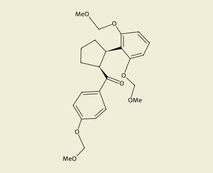 COCOc1ccc(C(=O)[C@H]2CCC[C@H]2c2c(OCOC)cccc2OCOC)cc1